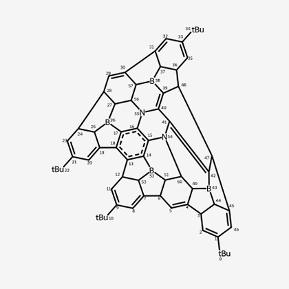 CC(C)(C)C1=CC2C3=CC4C5=CC(C(C)(C)C)=CC6c7c8c9c%10c%11c7C7=CC(C(C)(C)C)=CC%12C7B%11C7C%12C=C%11C%12=CC(C(C)(C)C)=CC%13C%12B%12C%14=C(C%15=C%16B(C2C(=C1)C%16C%14%13)C3C(C4B8C56)N%159)N%10C7C%12%11